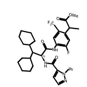 COC(=O)C(C)c1cc(F)c(NC(=O)[C@@H](NC(=O)c2ccnn2C(C)C)C(C2CCCCC2)C2CCCCC2)cc1C(F)(F)F